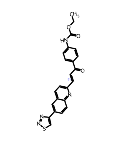 CCOC(=O)Nc1ccc(C(=O)/C=C/c2ccc3cc(-c4csnn4)ccc3n2)cc1